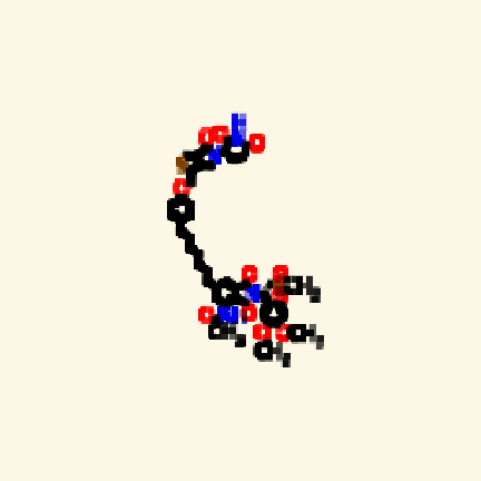 CCOc1cc([C@@H](CS(C)(=O)=O)N2C(=O)c3cc(CCCCCCCc4ccc(OCc5scc6c5CN(C5CCC(=O)NC5=O)C6=O)cc4)cc(NC(C)=O)c3C2=O)ccc1OC